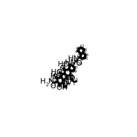 CCC(=O)O[C@@H]1[C@@H]2C(=C(O)[C@@]3(O)C(=O)C(C(N)=O)=C(O)[C@H](N(C)C)[C@@H]13)C(=O)c1c(ccc(NC(=O)Nc3cccc4ccccc34)c1O)[C@H]2C